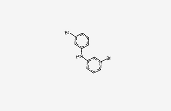 Brc1cccc(Nc2cccc(Br)c2)c1